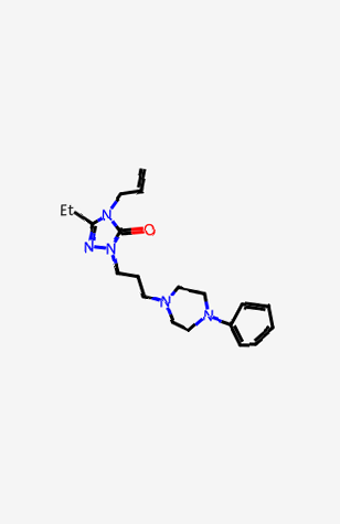 C=CCn1c(CC)nn(CCCN2CCN(c3ccccc3)CC2)c1=O